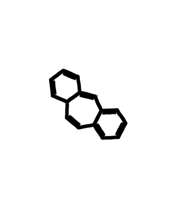 [C]1=C2C=CC=CC2C=Cc2ccccc21